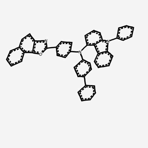 c1ccc(-c2ccc(N(c3ccc(-c4nc5ccc6ccccc6c5o4)cc3)c3cccc4c3c3ccccc3n4-c3ccccc3)cc2)cc1